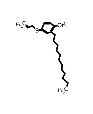 C=CCSc1ccc(O)c(CCCCCCCCCCCC)c1